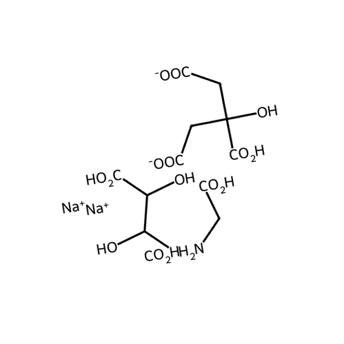 NCC(=O)O.O=C(O)C(O)C(O)C(=O)O.O=C([O-])CC(O)(CC(=O)[O-])C(=O)O.[Na+].[Na+]